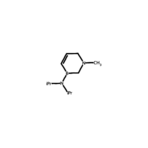 CC(C)N(B1C=CCN(C)C1)C(C)C